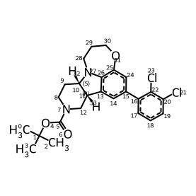 CC(C)(C)OC(=O)N1CC[C@H]2[C@@H](C1)c1cc(-c3cccc(Cl)c3Cl)cc3c1N2CCCO3